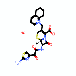 Nc1nc(C(=O)C(=O)N[C@@H]2C(=O)N3C(C(=O)O)=C(C[n+]4cccc5c4CCCC5)CS[C@H]23)cs1.[OH-]